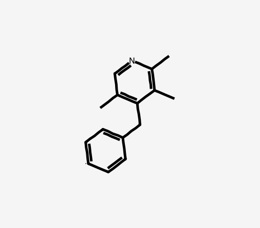 Cc1cnc(C)c(C)c1Cc1cc[c]cc1